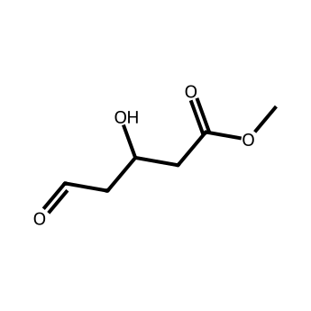 COC(=O)CC(O)CC=O